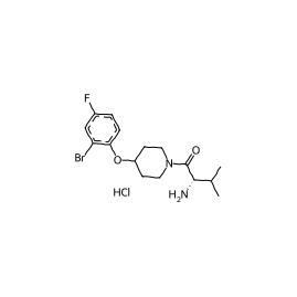 CC(C)[C@H](N)C(=O)N1CCC(Oc2ccc(F)cc2Br)CC1.Cl